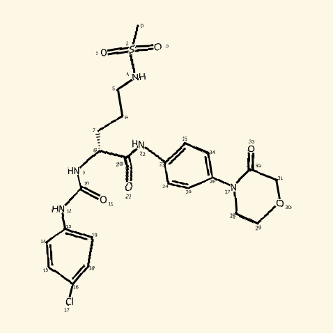 CS(=O)(=O)NCCC[C@@H](NC(=O)Nc1ccc(Cl)cc1)C(=O)Nc1ccc(N2CCOCC2=O)cc1